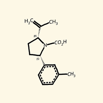 C=C(C)[C@H]1CC[C@@H](c2cccc(C)c2)N1C(=O)O